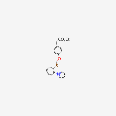 CCOC(=O)Cc1ccc(OCSc2ccccc2-n2cccc2)cc1